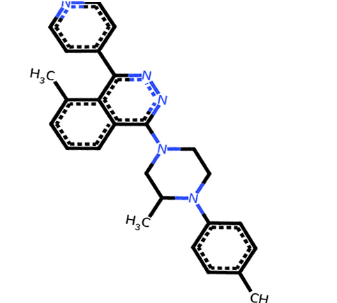 Cc1ccc(N2CCN(c3nnc(-c4ccncc4)c4c(C)cccc34)CC2C)cc1